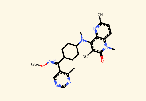 Cc1ncncc1/C(=N\OC(C)(C)C)C1CCC(N(C)c2c(C#N)c(=O)n(C)c3ccc(C#N)nc23)CC1